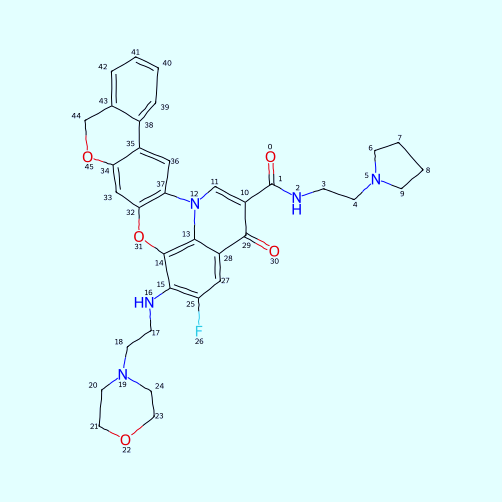 O=C(NCCN1CCCC1)c1cn2c3c(c(NCCN4CCOCC4)c(F)cc3c1=O)Oc1cc3c(cc1-2)-c1ccccc1CO3